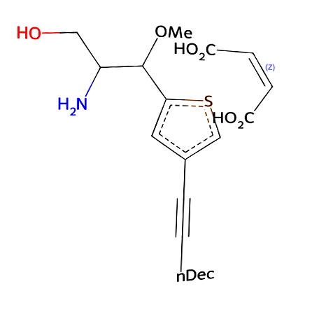 CCCCCCCCCCC#Cc1csc(C(OC)C(N)CO)c1.O=C(O)/C=C\C(=O)O